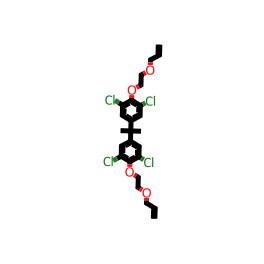 C=CCOCCOc1c(Cl)cc(C(C)(C)c2cc(Cl)c(OCCOCC=C)c(Cl)c2)cc1Cl